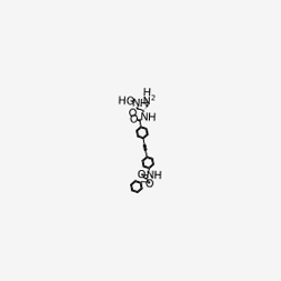 NC[C@H](NC(=O)c1ccc(C#Cc2ccc(NS(=O)(=O)c3ccccc3)cc2)cc1)C(=O)NO